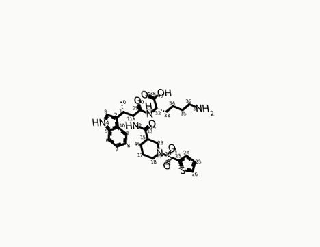 C[C@@H](c1c[nH]c2ccccc12)[C@@H](NC(=O)C1CCCN(S(=O)(=O)c2cccs2)C1)C(=O)N[C@@H](CCCCN)C(=O)O